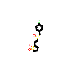 O=S1(=O)C=CC=C1C=C[S+]([O-])Cc1ccc(Cl)cc1